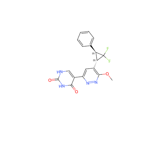 COc1nnc(-c2c[nH]c(=O)[nH]c2=O)cc1[C@@H]1[C@@H](c2ccccc2)C1(F)F